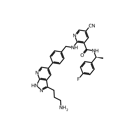 C[C@H](NC(=O)c1cc(C#N)cnc1NCc1ccc(-c2cnc3[nH]nc(CCCN)c3c2)cc1)c1ccc(F)cc1